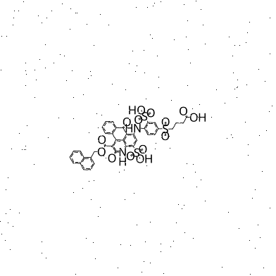 O=C(O)CCCS(=O)(=O)c1ccc(Nc2cc(S(=O)(=O)O)c3[nH]c(=O)c(C(=O)OCc4cccc5ccccc45)c4c3c2C(=O)c2ccccc2-4)c(S(=O)(=O)O)c1